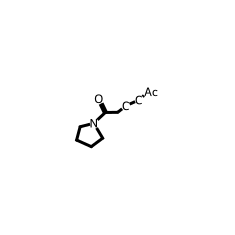 CC(=O)CCCC(=O)N1CCCC1